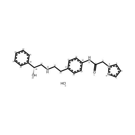 Cl.O=C(Cn1cccn1)Nc1ccc(CCNC[C@H](O)c2ccccc2)cc1